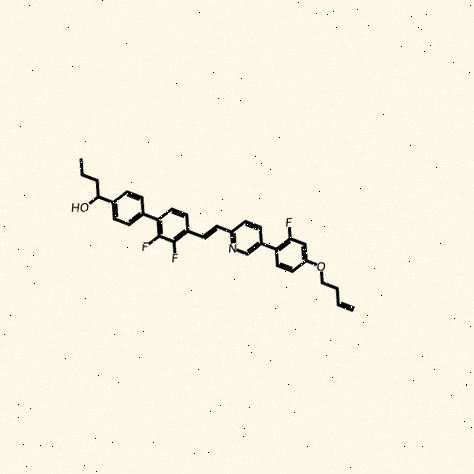 C=CCCOc1ccc(-c2ccc(/C=C/c3ccc(-c4ccc(C(O)CCC)cc4)c(F)c3F)nc2)c(F)c1